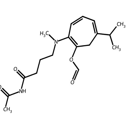 CC(=O)NC(=O)CCCN(C)C1=C(OC=O)CC(C(C)C)=CC=C1